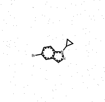 Brc1ccc2c(cnn2C2CC2)c1